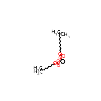 CC(C)CCCCCCCCCCOC(=O)OC1CCCCC1OC(=O)OCCCCCCCC(C)C